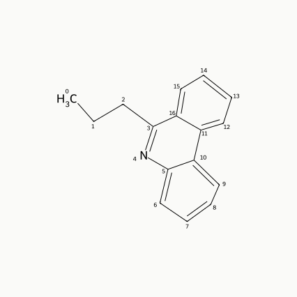 CCCc1nc2ccccc2c2ccccc12